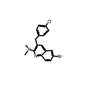 CN(C)c1nc2ccc(Br)cc2cc1Cc1ccc(Cl)cc1